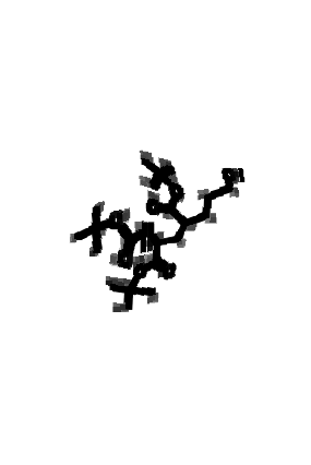 CC(C)(C)OC(=O)N[C@@H](C[C@H](CCCO)C(=O)OC(C)(C)C)C(=O)OC(C)(C)C